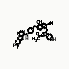 CC(=O)NCC(Cn1c(C#N)cc2c(C)c(CN3CCC(Nc4ncnc5sc(CC(F)(F)F)cc45)CC3)ccc21)N1CCNCC1